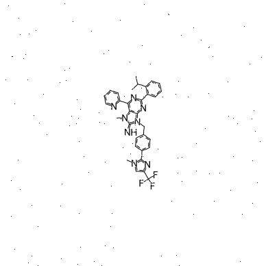 CC(C)c1ccccc1-c1nc(-c2ccccn2)c2c(n1)n(Cc1ccc(-c3nc(C(F)(F)F)cn3C)cc1)c(=N)n2C